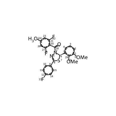 COc1cccc([C@H]2SC(c3ccc(F)cc3)=NN2C(=O)c2c(F)cc(C)cc2F)c1OC